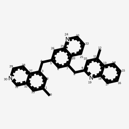 Cc1cc(Cc2cc(Cc3cc(C)c4ccccc4n3)c3cccnc3c2)c2ccncc2c1